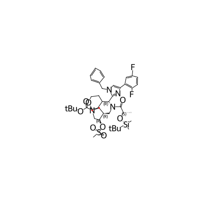 C[C@H](O[Si](C)(C)C(C)(C)C)C(=O)N(C[C@@H]1CN(C(=O)OC(C)(C)C)C[C@@H]1OS(C)(=O)=O)[C@@H](c1nc(-c2cc(F)ccc2F)cn1Cc1ccccc1)C1CCOCC1